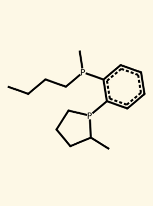 CCCCP(C)c1ccccc1P1CCCC1C